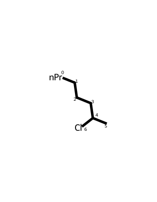 [CH2]CCCCCC(C)Cl